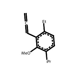 C=C=Cc1c(CC)ccc(C(C)C)c1OC